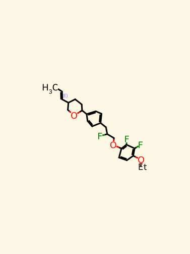 C/C=C/C1CCC(c2ccc(CC(F)COc3ccc(OCC)c(F)c3F)cc2)OC1